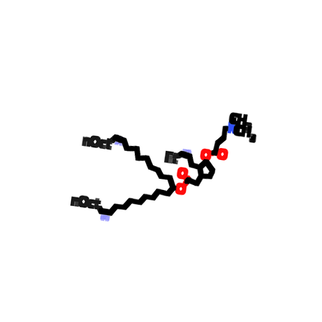 CC/C=C\CC1C(CC(=O)OC(CCCCCCCC/C=C\CCCCCCCC)CCCCCCCC/C=C\CCCCCCCC)CCC1OC(=O)CCCN(C)C